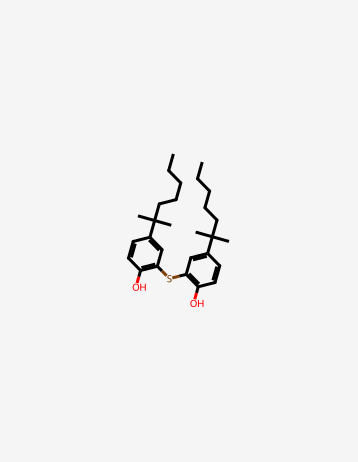 CCCCCC(C)(C)c1ccc(O)c(Sc2cc(C(C)(C)CCCCC)ccc2O)c1